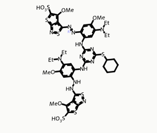 CCN(CC)c1cc(Nc2nc(Nc3cc(N(CC)CC)c(OC)cc3NNc3snc4sc(S(=O)(=O)O)c(OC)c34)nc(SC3CCCCC3)n2)c(/N=N/c2snc3sc(S(=O)(=O)O)c(OC)c23)cc1OC